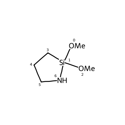 CO[Si]1(OC)CCCN1